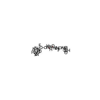 O=C1CC[C@H](Nc2ccc(N3CCN(CC(=O)N4C[C@H]5C[C@@H]4CN5c4ccc(-c5cc(F)c6c(c5)C(=O)N(C(C(=O)Nc5nccs5)c5ncn7c5CCC7)C6)cc4)CC3)c(F)c2)C(=O)N1